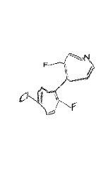 Fc1cnccc1-c1cc(Cl)ccc1F